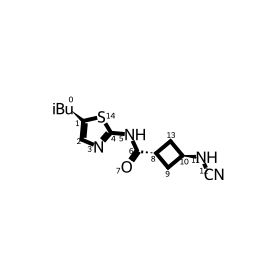 CC[C@H](C)c1cnc(NC(=O)[C@H]2C[C@H](NC#N)C2)s1